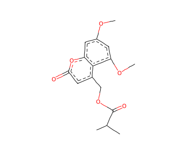 COc1cc(OC)c2c(COC(=O)C(C)C)cc(=O)oc2c1